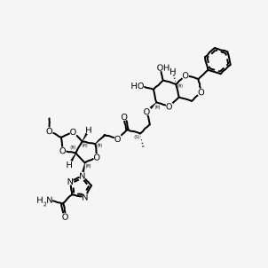 COC1O[C@@H]2[C@H](O1)[C@@H](COC(=O)[C@@H](C)CO[C@@H]1OC3COC(c4ccccc4)O[C@@H]3C(O)C1O)O[C@H]2n1cnc(C(N)=O)n1